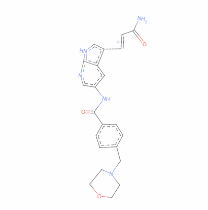 NC(=O)/C=C/c1c[nH]c2ncc(NC(=O)c3ccc(CN4CCOCC4)cc3)cc12